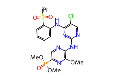 COc1nc(P(=O)(OC)OC)cnc1Nc1ncc(Cl)c(Nc2ccccc2S(=O)(=O)C(C)C)n1